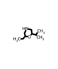 CCC1CNCC(C(C)C)O1